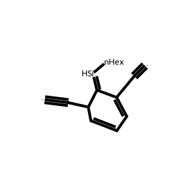 [C]#CC1=CC=CC(C#[C])C1=[SiH]CCCCCC